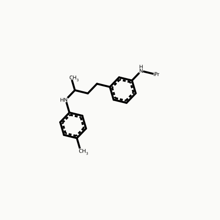 Cc1ccc(NC(C)CCc2cccc(NC(C)C)c2)cc1